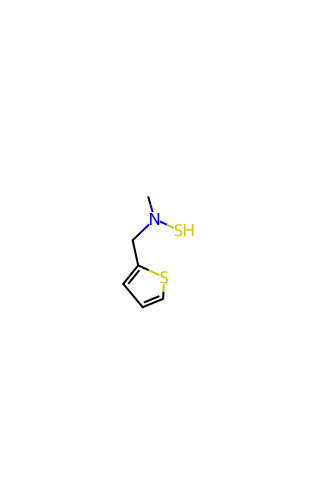 CN(S)Cc1cccs1